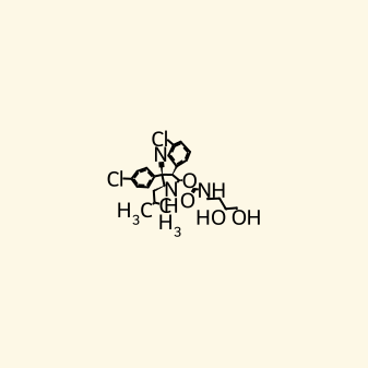 CC(C)C[C@@H]1N[C@H](OC(=O)NCC[C@H](O)CO)[C@H](c2cccc(Cl)c2)[C@@]1(C#N)c1ccc(Cl)cc1